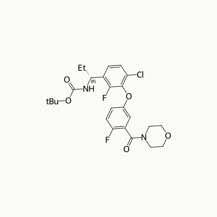 CC[C@@H](NC(=O)OC(C)(C)C)c1ccc(Cl)c(Oc2ccc(F)c(C(=O)N3CCOCC3)c2)c1F